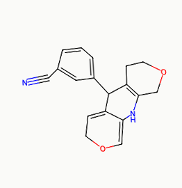 N#Cc1cccc(C2C3=CCOC=C3NC3=C2CCOC3)c1